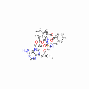 CCCCOC(=O)c1ccccc1CCNP(=O)(CO[C@H](C)Cn1cnc2c(N)ncnc21)NCCc1ccccc1C(=O)OCC(C)(C)C